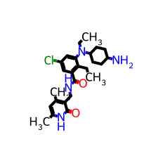 CCc1c(C(=O)NCc2c(C)cc(C)[nH]c2=O)cc(Cl)cc1N(CC)C1CCC(N)CC1